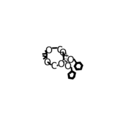 CC1(C)OCCCO[C@@H](COCc2ccccc2)[C@H](COCc2ccccc2)OCCCOC1(C)C